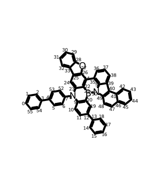 c1ccc(-c2ccc(N3c4ccc(-c5ccccc5)cc4B4c5c3cc3c(oc6ccccc63)c5-c3cccc5c6c7ccccc7ccc6n4c35)cc2)cc1